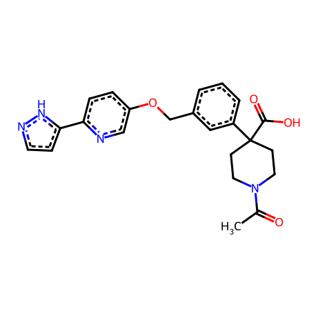 CC(=O)N1CCC(C(=O)O)(c2cccc(COc3ccc(-c4ccn[nH]4)nc3)c2)CC1